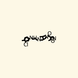 Cc1ccc(NCCCN2CC3CN(C(=O)c4cnoc4C)CC3C2)cc1Cl